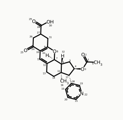 CC(=O)O[C@@H]1C[C@H]2[C@@H]3OC4=C(C=C3CC[C@]2(C)[C@H]1c1cccnc1)C(=O)CC(C(=O)O)C4